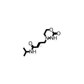 CC(C)NC(=O)/C=C/CN1CCOC(=O)N1